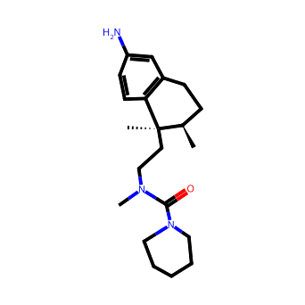 C[C@@H]1CCc2cc(N)ccc2[C@]1(C)CCN(C)C(=O)N1CCCCC1